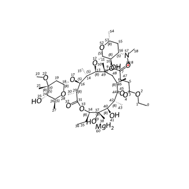 CCOC(=O)CCC(=O)O[C@H]1[C@H](O[C@@H]2[C@@H](C)[C@H](O[C@H]3C[C@@](C)(OC)[C@@H](O)[C@H](C)O3)[C@@H](C)C(=O)O[C@H](CC)[C@@](C)(O)[C@H](O)[C@@H](C)C(=O)[C@H](C)C[C@@]2(C)O)O[C@H](C)C[C@@H]1N(C)C.[MgH2]